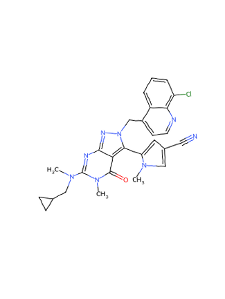 CN(CC1CC1)c1nc2nn(Cc3ccnc4c(Cl)cccc34)c(-c3cc(C#N)cn3C)c2c(=O)n1C